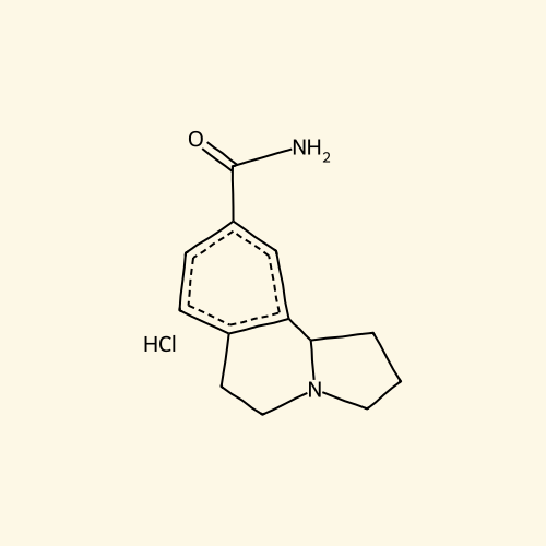 Cl.NC(=O)c1ccc2c(c1)C1CCCN1CC2